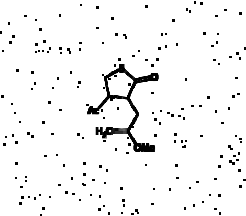 C=C(CC1C(=O)SCC1C(C)=O)OC